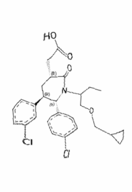 CCC(COCC1CC1)N1C(=O)[C@@H](CC(=O)O)C[C@H](c2cccc(Cl)c2)[C@H]1c1ccc(Cl)cc1